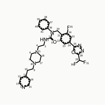 O=C(NCCN1CCN(CCc2ccncc2)CC1)N(Cc1ccc(-c2nnc(C(F)F)o2)cc1F)c1ccccc1